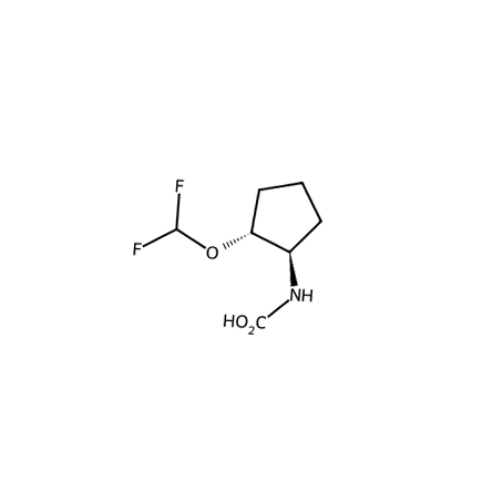 O=C(O)N[C@@H]1CCC[C@H]1OC(F)F